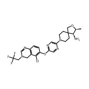 C[C@@H]1OCC2(CCN(c3cnc(Sc4ccc5c(c4Cl)CN(CC(F)(F)F)C=N5)cn3)CC2)[C@@H]1N